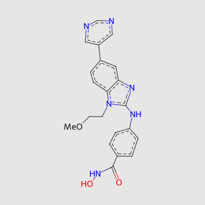 COCCn1c(Nc2ccc(C(=O)NO)cc2)nc2cc(-c3cncnc3)ccc21